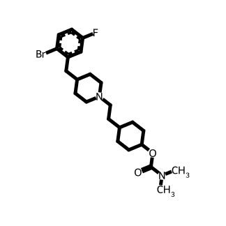 CN(C)C(=O)OC1CCC(CCN2CCC(Cc3cc(F)ccc3Br)CC2)CC1